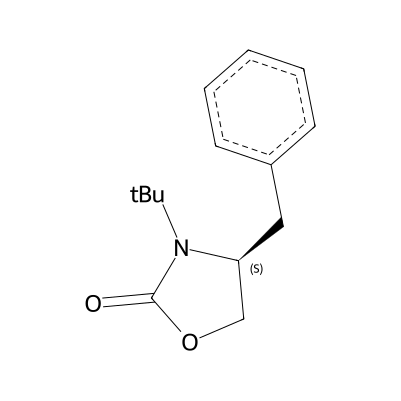 CC(C)(C)N1C(=O)OC[C@@H]1Cc1ccccc1